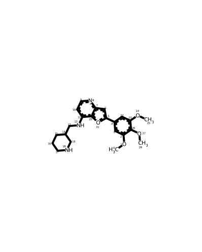 COc1cc(-c2cc3nccc(NCC4CCCNC4)c3o2)cc(OC)c1OC